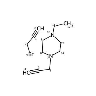 C#CCBr.C#CCN1CCN(CC)CC1